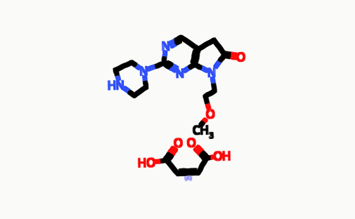 COCCN1C(=O)Cc2cnc(N3CCNCC3)nc21.O=C(O)/C=C\C(=O)O